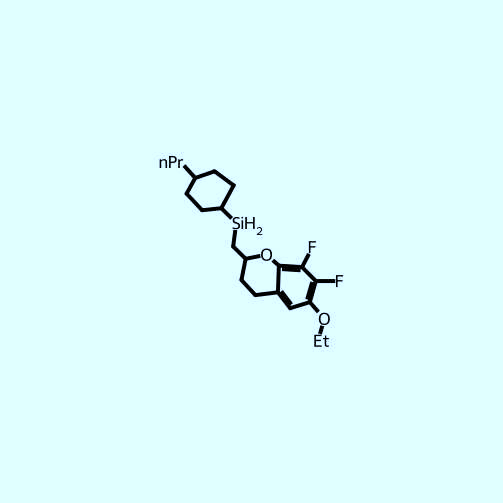 CCCC1CCC([SiH2]CC2CCc3cc(OCC)c(F)c(F)c3O2)CC1